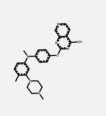 Cc1ccc(N(C)c2ccc(Oc3nc(O)c4ccncc4n3)cc2)cc1N1CCN(C)CC1